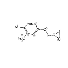 CC(=O)c1ccc(OCC2CO2)cc1C